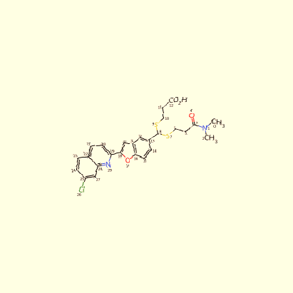 CN(C)C(=O)CCSC(SCCC(=O)O)c1ccc2oc(-c3ccc4ccc(Cl)cc4n3)cc2c1